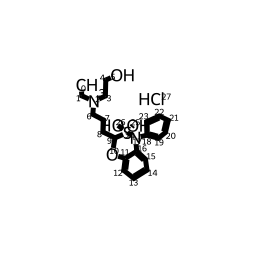 CCN(CCO)CCCC1Oc2ccccc2N(c2ccccc2)S1(O)O.Cl